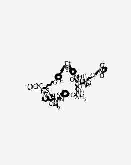 CC[N+](CC)(CC#Cc1ccc(OCCCc2sc(N3CCCc4c3nnc(Nc3nc5ccccc5s3)c4C)nc2C(=O)[O-])c(F)c1)Cc1ccc(NC(=O)[C@H](CCCNC(N)=O)NC(=O)[C@@H](NC(=O)CCOCCN2C(=O)C=CC2=O)C(C)C)cc1